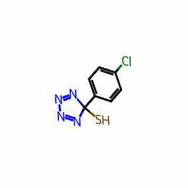 SC1(c2ccc(Cl)cc2)N=NN=N1